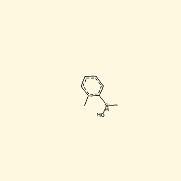 Cc1ccccc1[SiH](C)O